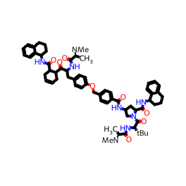 CN[C@@H](C)C(=O)NC(Cc1ccc(OCc2ccc(C(=O)NC3CC(C(=O)NC4CCCc5ccccc54)N(C(=O)C(NC(=O)[C@H](C)NC)C(C)(C)C)C3)cc2)cc1)C(=O)C1CC=CCC1C(=O)NC1CCCc2ccccc21